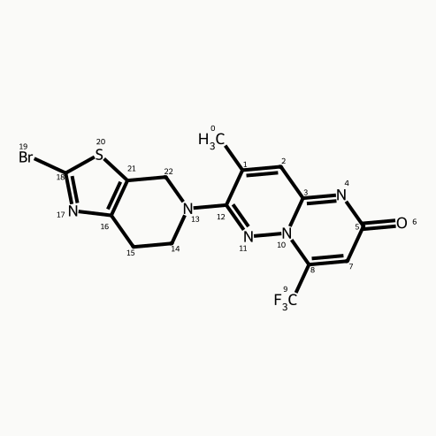 Cc1cc2nc(=O)cc(C(F)(F)F)n2nc1N1CCc2nc(Br)sc2C1